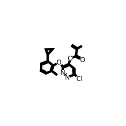 C=C(C)C(=O)Oc1cc(Cl)nnc1Oc1c(C)cccc1C1CC1